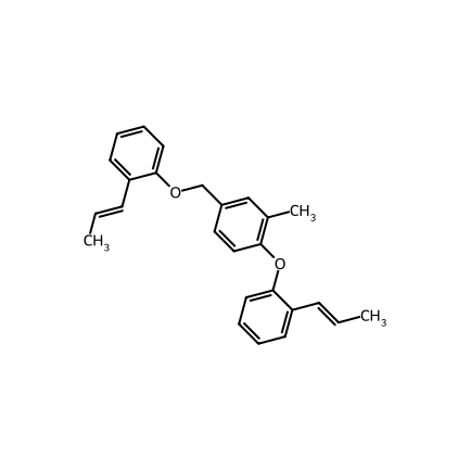 CC=Cc1ccccc1OCc1ccc(Oc2ccccc2C=CC)c(C)c1